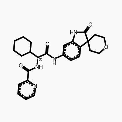 O=C(N[C@H](C(=O)Nc1ccc2c(c1)NC(=O)C21CCOCC1)C1CCCCC1)c1ccccn1